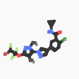 Cn1nc(OC(F)(F)C(F)Br)c(C(F)(F)F)c1-n1cc(C2=CC=C(Cl)C(C(=O)NC3CC3)C2)cn1